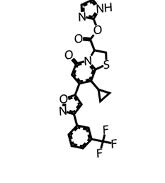 O=C(Oc1ncc[nH]1)C1CSc2c(C3CC3)c(-c3cc(-c4cccc(C(F)(F)F)c4)no3)cc(=O)n21